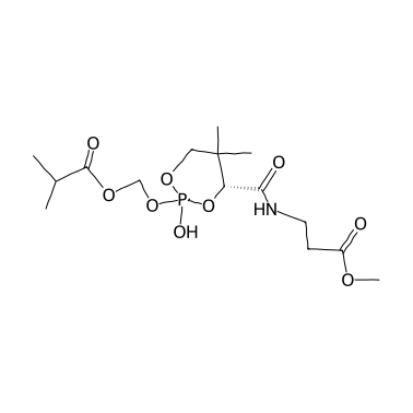 COC(=O)CCNC(=O)[C@@H]1O[P](O)(OCOC(=O)C(C)C)OCC1(C)C